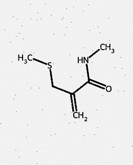 C=C(CSC)C(=O)NC